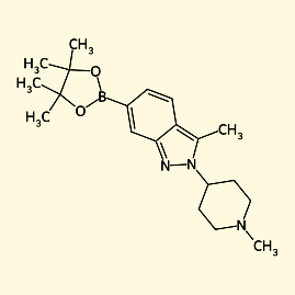 Cc1c2ccc(B3OC(C)(C)C(C)(C)O3)cc2nn1C1CCN(C)CC1